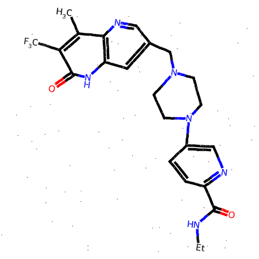 CCNC(=O)c1ccc(N2CCN(Cc3cnc4c(C)c(C(F)(F)F)c(=O)[nH]c4c3)CC2)cn1